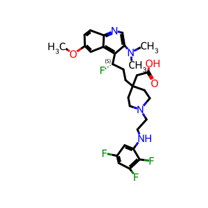 COc1ccc2ncc(N(C)C)c([C@@H](F)CCC3(CC(=O)O)CCN(CCNc4cc(F)cc(F)c4F)CC3)c2c1